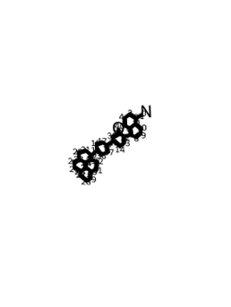 N#Cc1ccc2c3c(cccc13)-c1ccc(-c3ccc(-c4ccc5ccc6cccc7ccc4c5c67)cc3)cc1O2